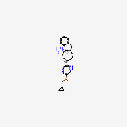 N[C@@]12CC[C@@H](c3cnc(SCC4CC4)cn3)CCC1Cc1ccccc12